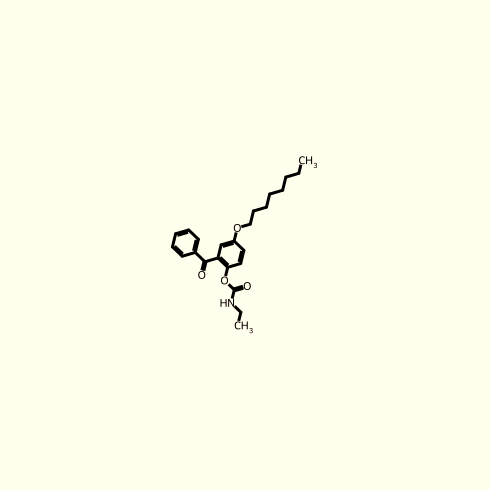 CCCCCCCCOc1ccc(OC(=O)NCC)c(C(=O)c2ccccc2)c1